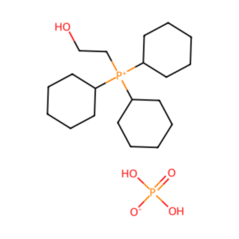 O=P([O-])(O)O.OCC[P+](C1CCCCC1)(C1CCCCC1)C1CCCCC1